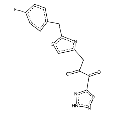 O=C(Cc1csc(Cc2ccc(F)cc2)n1)C(=O)c1nn[nH]n1